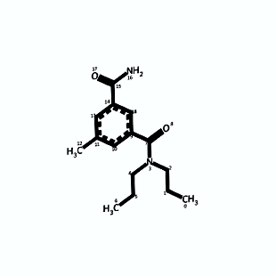 CCCN(CCC)C(=O)c1cc(C)cc(C(N)=O)c1